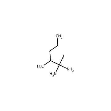 CCCC(C)C(N)(N)I